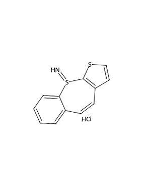 Cl.N=S1c2ccccc2C=Cc2ccsc21